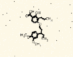 CCCc1c(OCCC(CC)c2ccc(OC)c(OC)c2)ccc(C(=O)O)c1O